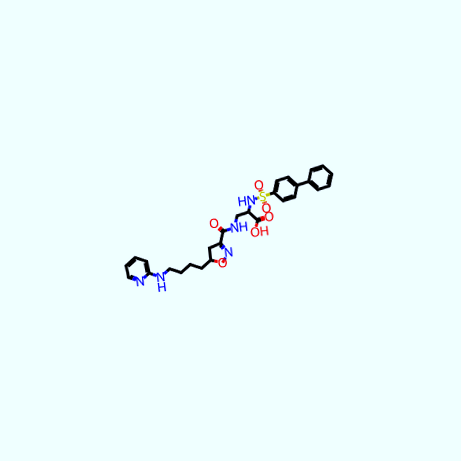 O=C(NCC(NS(=O)(=O)c1ccc(-c2ccccc2)cc1)C(=O)O)C1=NOC(CCCCNc2ccccn2)C1